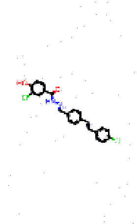 O=C(N/N=C/c1ccc(/C=C/c2ccc(Cl)cc2)cc1)c1ccc(O)c(Cl)c1